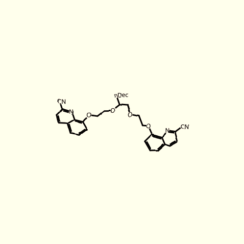 CCCCCCCCCCC(COCCOc1cccc2ccc(C#N)nc12)OCCOc1cccc2ccc(C#N)nc12